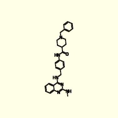 CNc1nc(NCc2ccc(NC(=O)C3CCN(Cc4ccccc4)CC3)cc2)c2ccccc2n1